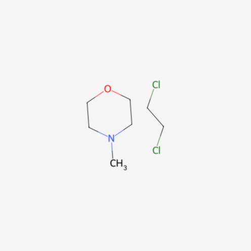 CN1CCOCC1.ClCCCl